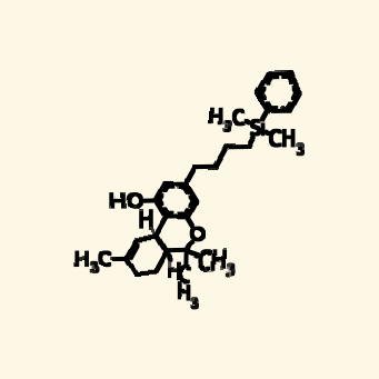 CC1=C[C@H]2c3c(O)cc(CCCC[Si](C)(C)c4ccccc4)cc3OC(C)(C)[C@@H]2CC1